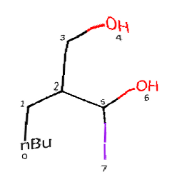 CCCCCC(CO)C(O)I